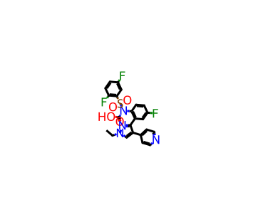 CCn1cc(-c2ccncc2)c(-c2cc(F)ccc2N(C(=O)O)S(=O)(=O)c2cc(F)ccc2F)n1